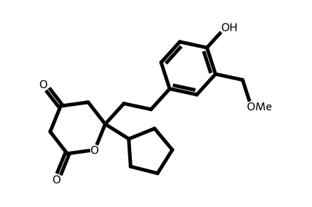 COCc1cc(CCC2(C3CCCC3)CC(=O)CC(=O)O2)ccc1O